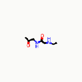 CCNCC(=O)NCC(C)=O